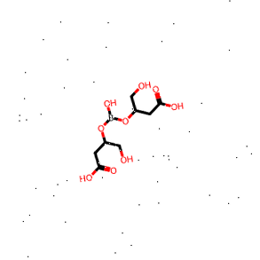 O=C(O)CC(CO)OB(O)OC(CO)CC(=O)O